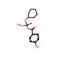 CCOC(C)(OC(=O)c1ccc(O)cc1)OC1CCCCC1